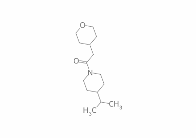 CC(C)C1CCN(C(=O)CC2CCOCC2)CC1